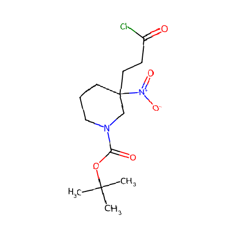 CC(C)(C)OC(=O)N1CCCC(CCC(=O)Cl)([N+](=O)[O-])C1